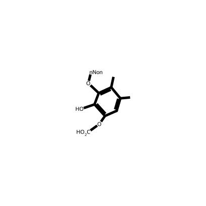 CCCCCCCCCOc1c(C)c(C)cc(OC(=O)O)c1O